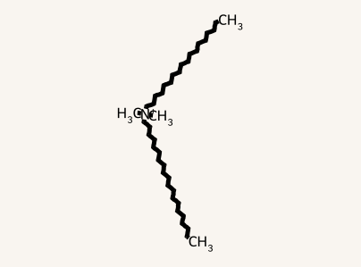 CCCCCCCCCCCCCCCCCCCC[N+](C)(C)CCCCCCCCCCCCCCCCCC